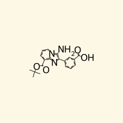 CC(C)(C)OC(=O)c1cccn2c(N)c(-c3cccc(C(=O)O)c3)nc12